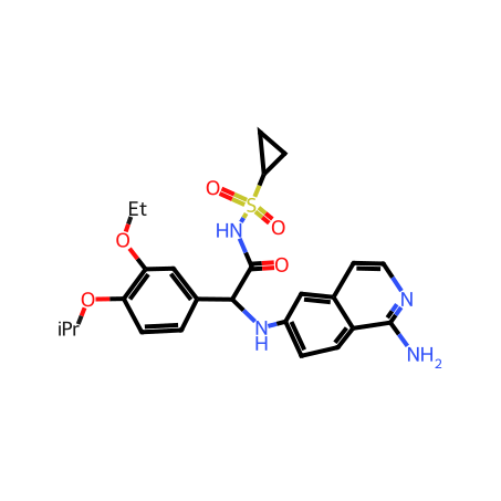 CCOc1cc(C(Nc2ccc3c(N)nccc3c2)C(=O)NS(=O)(=O)C2CC2)ccc1OC(C)C